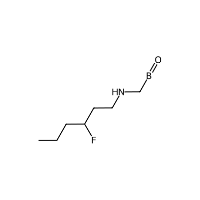 CCCC(F)CCNCB=O